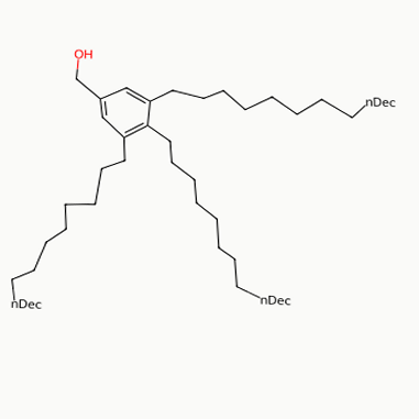 CCCCCCCCCCCCCCCCCCc1cc(CO)cc(CCCCCCCCCCCCCCCCCC)c1CCCCCCCCCCCCCCCCCC